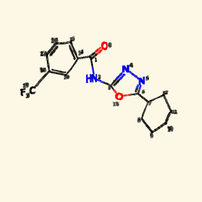 O=C(Nc1nnc(C2CCCCC2)o1)c1cccc(C(F)(F)F)c1